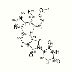 COc1cccc(-c2c(-c3ccc4c(c3)CN(C3CCC(=O)NC3=O)C4=O)ncn2C)c1F